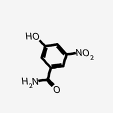 NC(=O)c1cc(O)cc([N+](=O)[O-])c1